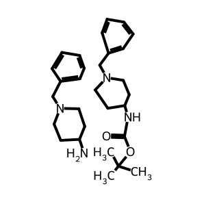 CC(C)(C)OC(=O)NC1CCN(Cc2ccccc2)CC1.NC1CCN(Cc2ccccc2)CC1